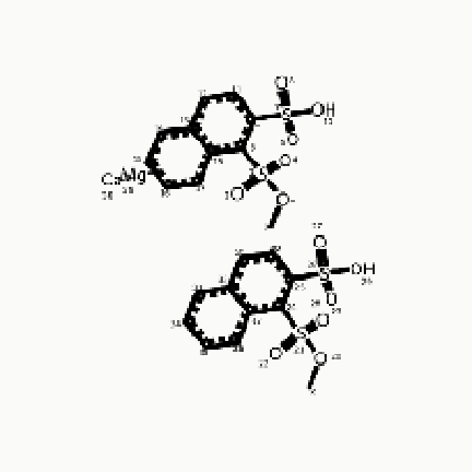 COS(=O)(=O)c1c(S(=O)(=O)O)ccc2ccccc12.COS(=O)(=O)c1c(S(=O)(=O)O)ccc2ccccc12.[Ca+2].[Mg+2]